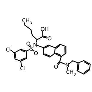 CCCCC(C(=O)O)N(c1ccc2c(C(=O)N(C)Cc3ccccc3)cccc2c1)S(=O)(=O)c1cc(Cl)cc(Cl)c1